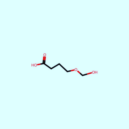 O=C(O)CCCOCO